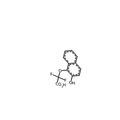 O=C(O)C(F)(F)Oc1c(O)ccc2ccccc12